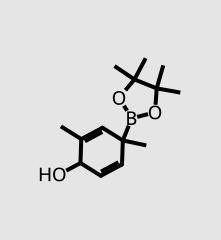 CC1=CC(C)(B2OC(C)(C)C(C)(C)O2)C=CC1O